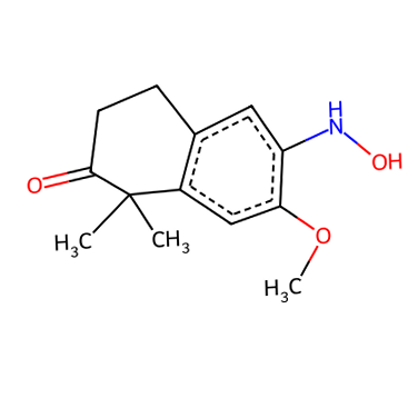 COc1cc2c(cc1NO)CCC(=O)C2(C)C